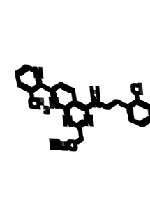 CC(C)COCc1nc(NCCc2ccccc2Cl)c2ccc(-c3ncccc3C(F)(F)F)nc2n1